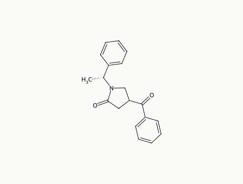 C[C@H](c1ccccc1)N1CC(C(=O)c2ccccc2)CC1=O